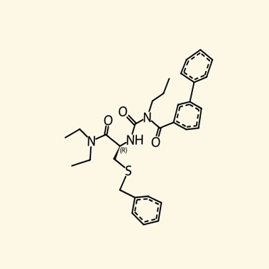 CCCN(C(=O)N[C@@H](CSCc1ccccc1)C(=O)N(CC)CC)C(=O)c1cccc(-c2ccccc2)c1